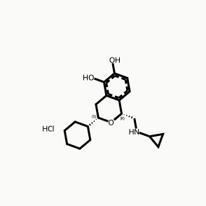 Cl.Oc1ccc2c(c1O)C[C@@H](C1CCCCC1)O[C@H]2CNC1CC1